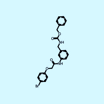 O=C(COc1ccc(Br)cc1)Nc1cccc(CNC(=O)OCc2ccccc2)c1